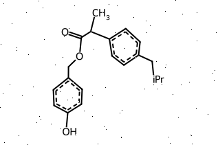 CC(C)Cc1ccc(C(C)C(=O)OCc2ccc(O)cc2)cc1